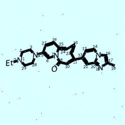 CCN1CCN(C2=CN3C(=O)\C=C(c4ccn5cc(C)nc5c4)/C=C/C=C/3C=C2)CC1